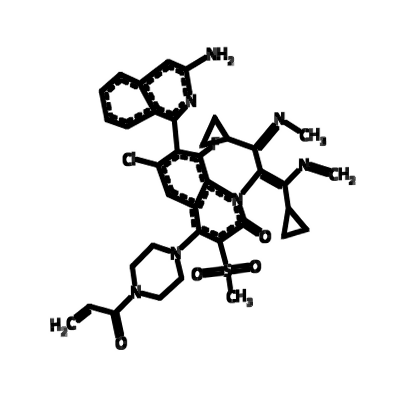 C=CC(=O)N1CCN(c2c(S(C)(=O)=O)c(=O)n(C(/C(=N\C)C3CC3)=C(/N=C)C3CC3)c3c(F)c(-c4nc(N)cc5ccccc45)c(Cl)cc23)CC1